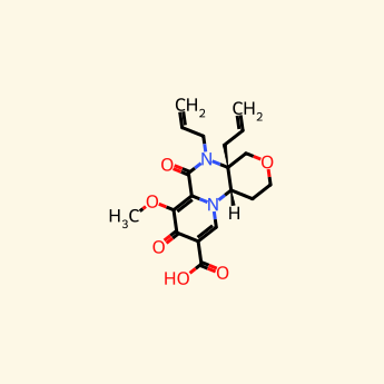 C=CCN1C(=O)c2c(OC)c(=O)c(C(=O)O)cn2[C@H]2CCOC[C@]21CC=C